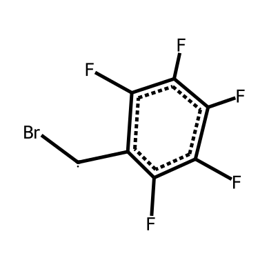 Fc1c(F)c(F)c([CH]Br)c(F)c1F